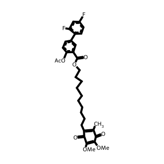 COC1=C(OC)C(=O)C(CCCCCCCCCCOC(=O)c2cc(-c3ccc(F)cc3F)ccc2OC(C)=O)=C(C)C1=O